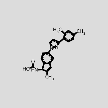 CC1=Cc2cc(-n3ccc(-c4ccc(C)cc4C)n3)ccc2C1NC(=O)O